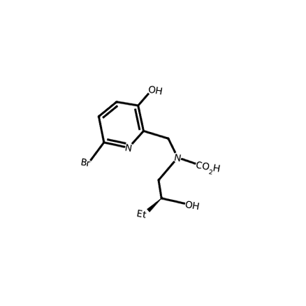 CC[C@H](O)CN(Cc1nc(Br)ccc1O)C(=O)O